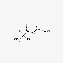 CCCCCCCCC(C)OC(=O)C(CC)(CC)C(=O)O